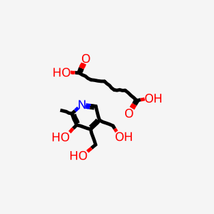 Cc1ncc(CO)c(CO)c1O.O=C(O)CCCCC(=O)O